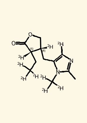 [2H]c1nc(C)n(C([2H])([2H])[2H])c1C[C@@]1([2H])COC(=O)[C@@]1([2H])CC([2H])([2H])[2H]